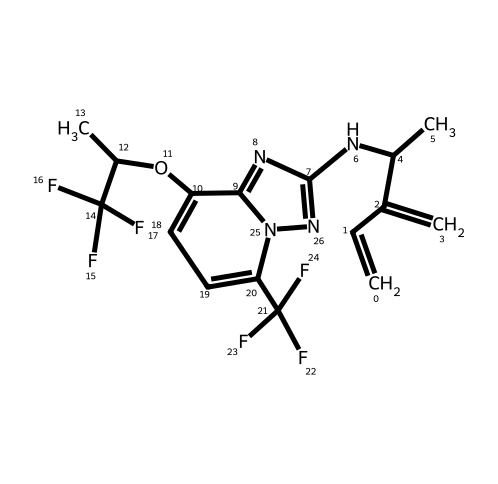 C=CC(=C)C(C)Nc1nc2c(OC(C)C(F)(F)F)ccc(C(F)(F)F)n2n1